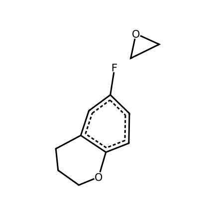 C1CO1.Fc1ccc2c(c1)CCCO2